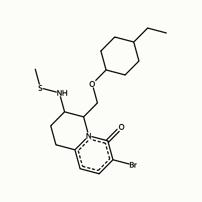 CCC1CCC(OCC2C(NSC)CCc3ccc(Br)c(=O)n32)CC1